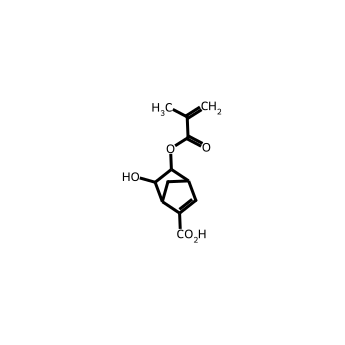 C=C(C)C(=O)OC1C2C=C(C(=O)O)C(C2)C1O